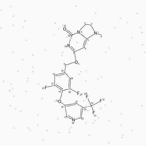 CN1CCn2c1cc(OCc1cc(F)c(Oc3cncc(C(F)(F)F)c3)c(F)c1)nc2=O